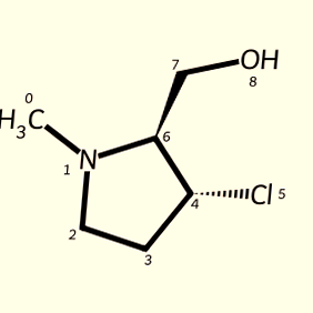 CN1CC[C@@H](Cl)[C@@H]1CO